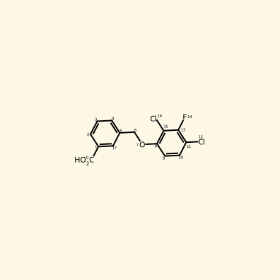 O=C(O)c1cccc(COc2ccc(Cl)c(F)c2Cl)c1